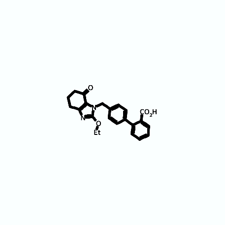 CCOc1nc2c(n1Cc1ccc(-c3ccccc3C(=O)O)cc1)C(=O)CCC2